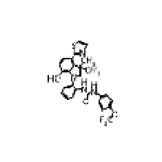 CC1(C)CN(c2ccccc2NC(=O)Nc2ccc(OC(F)(F)F)cc2)c2c(O)ccc(-c3nccs3)c21